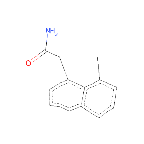 Cc1cccc2cccc(CC(N)=O)c12